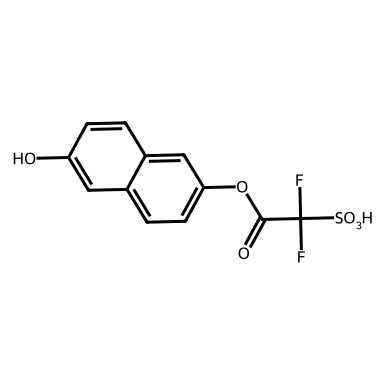 O=C(Oc1ccc2cc(O)ccc2c1)C(F)(F)S(=O)(=O)O